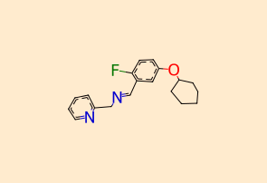 Fc1ccc(OC2CCCCC2)cc1/C=N/Cc1ccccn1